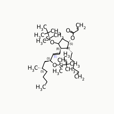 C=CCCCC[C@H]1[C@@H](OC(=O)C=C)CC(O[Si](C)(C)C(C)(C)C)[C@@H]1/C=C/[C@H](C[C@@H](C)CCCC)O[Si](C)(C)C(C)(C)C